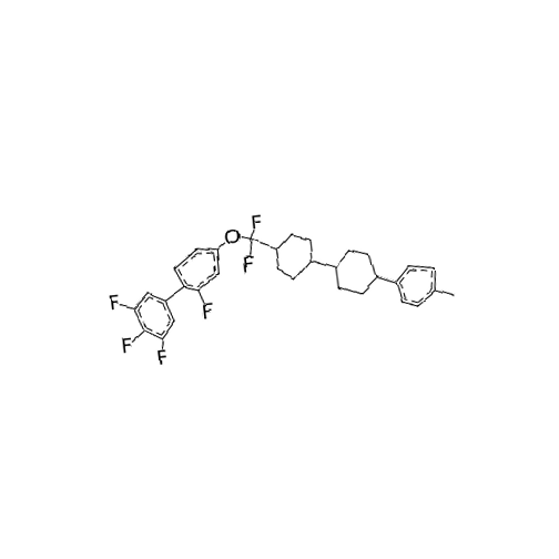 Cc1ccc(C2CCC(C3CCC(C(F)(F)Oc4ccc(-c5cc(F)c(F)c(F)c5)c(F)c4)CC3)CC2)cc1